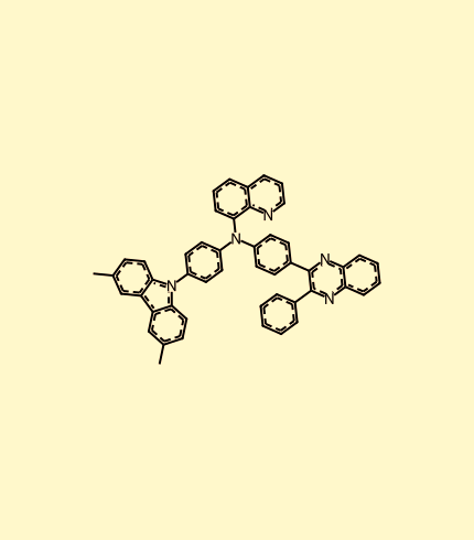 Cc1ccc2c(c1)c1cc(C)ccc1n2-c1ccc(N(c2ccc(-c3nc4ccccc4nc3-c3ccccc3)cc2)c2cccc3cccnc23)cc1